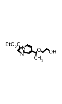 CCOC(=O)c1cnc2cc(C(C)OCCO)ccn12